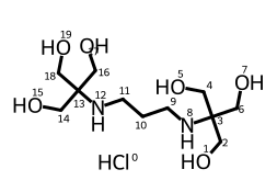 Cl.OCC(CO)(CO)NCCCNC(CO)(CO)CO